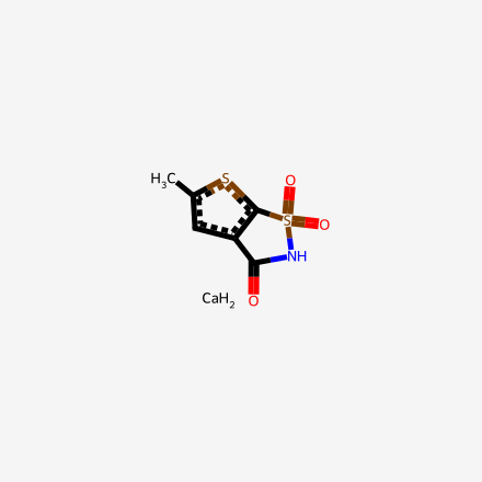 Cc1cc2c(s1)S(=O)(=O)NC2=O.[CaH2]